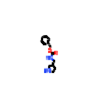 O=C(NCC1CCNC1)OCc1ccccc1